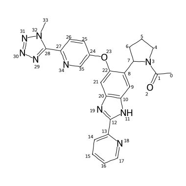 CC(=O)N1CCCC1c1cc2[nH]c(-c3ccccn3)nc2cc1Oc1ccc(-c2nnnn2C)nc1